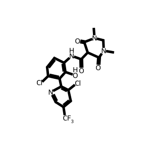 CN1CN(C)C(=O)C(C(=O)Nc2ccc(Cl)c(-c3ncc(C(F)(F)F)cc3Cl)c2O)C1=O